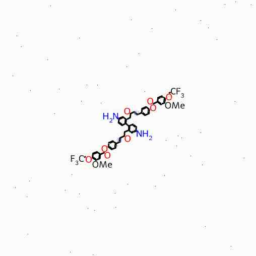 COc1cc(C(=O)Oc2ccc(/C=C/C(=O)Cc3cc(N)ccc3-c3ccc(N)cc3CC(=O)/C=C/c3ccc(OC(=O)c4ccc(OCC(F)(F)F)c(OC)c4)cc3)cc2)ccc1OCC(F)(F)F